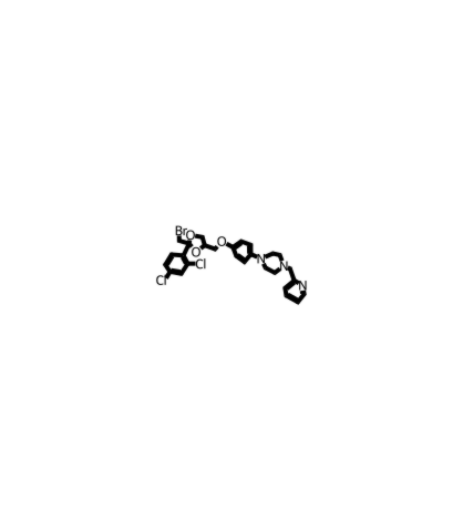 Clc1ccc(C2(CBr)OCC(COc3ccc(N4CCN(Cc5ccccn5)CC4)cc3)O2)c(Cl)c1